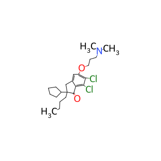 CCCCC1(C2CCCC2)Cc2cc(OCCCN(C)C)c(Cl)c(Cl)c2C1=O